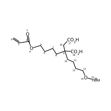 C=CC(=O)OCCCCC(CCCCOCCCC)(CC(=O)O)C(=O)O